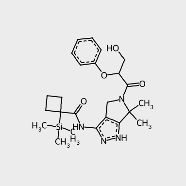 CC1(C)c2[nH]nc(NC(=O)C3([Si](C)(C)C)CCC3)c2CN1C(=O)C(CO)Oc1ccccc1